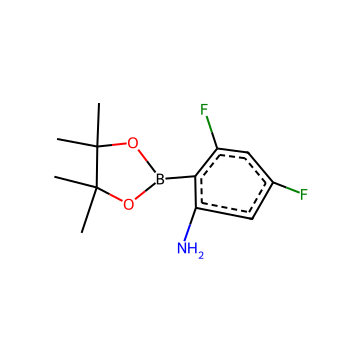 CC1(C)OB(c2c(N)cc(F)cc2F)OC1(C)C